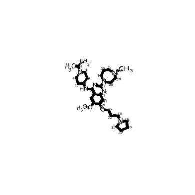 COc1cc2c(NC3CCN(C(C)C)CC3)nc(N3CCCN(C)CC3)nc2cc1OCCCN1CCCC1